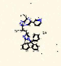 CCCc1nc(-c2cccnc2)cn2c(C(Cc3cn(C(c4ccccc4)(c4ccccc4)c4ccccc4)cn3)C(=O)[O-])nnc12.[Na+]